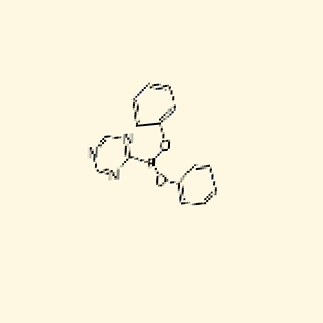 c1ccc(OB(Oc2ccccc2)c2ncncn2)cc1